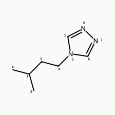 CC(C)CCn1cnnc1